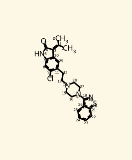 CC(C)=C1C(=O)Nc2cc(Cl)c(CCN3CCN(c4nsc5ccccc45)CC3)cc21